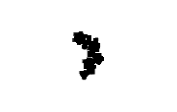 Cc1ccc(Nc2nccn2-c2cc(NC3CC3)ncn2)cc1NC(=O)c1ccccc1